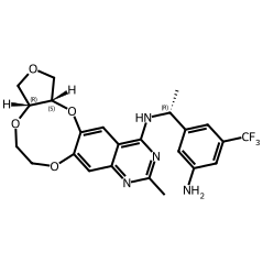 Cc1nc(N[C@H](C)c2cc(N)cc(C(F)(F)F)c2)c2cc3c(cc2n1)OCCO[C@@H]1COC[C@@H]1O3